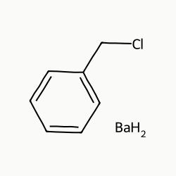 ClCc1ccccc1.[BaH2]